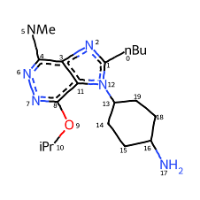 CCCCc1nc2c(NC)nnc(OC(C)C)c2n1C1CCC(N)CC1